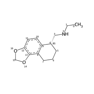 CCNC[C@@H]1CCCc2c1ccc1c2OCO1